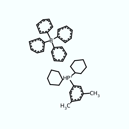 Cc1cc(C)cc([PH+](C2CCCCC2)C2CCCCC2)c1.c1ccc([B-](c2ccccc2)(c2ccccc2)c2ccccc2)cc1